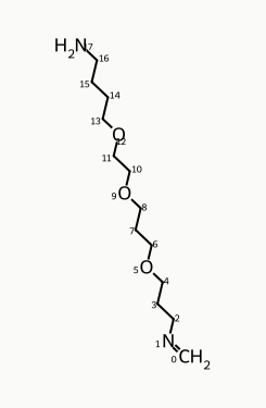 C=NCCCOCCCOCCOCCCCN